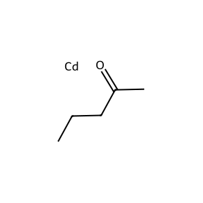 CCCC(C)=O.[Cd]